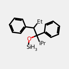 CCC(c1ccccc1)C(O[SiH3])(c1ccccc1)C(C)C